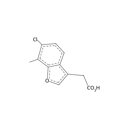 Cc1c(Cl)ccc2c(CC(=O)O)coc12